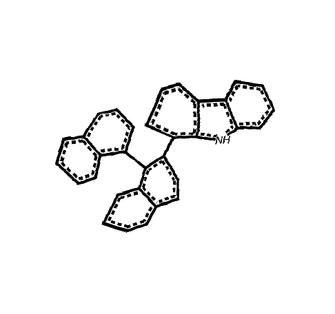 c1ccc2c(-c3c(-c4cccc5c4[nH]c4ccccc45)ccc4ccccc34)cccc2c1